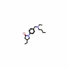 CCCCN(CC)Cc1ccc(N2CC(CC)CC2=O)cc1